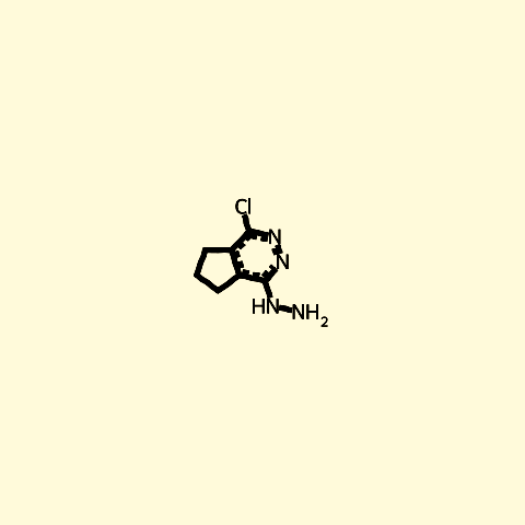 NNc1nnc(Cl)c2c1CCC2